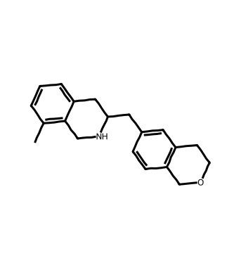 Cc1cccc2c1CNC(Cc1ccc3c(c1)CCOC3)C2